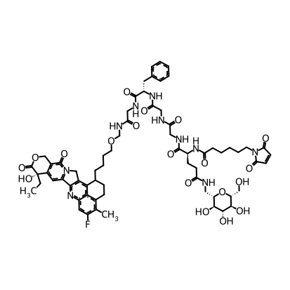 CC[C@@]1(O)C(=O)OCc2c1cc1n(c2=O)Cc2c-1nc1cc(F)c(C)c3c1c2C(CCCCOCNC(=O)CNC(=O)[C@H](Cc1ccccc1)NC(=O)CNC(=O)CNC(=O)[C@H](CCC(=O)NC[C@@H]1O[C@H](CO)[C@@H](O)[C@H](O)[C@H]1O)NC(=O)CCCCCN1C(=O)C=CC1=O)CC3